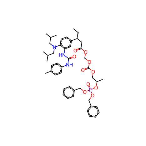 CC[C@@H](CC(=O)OCOC(=O)OCC(C)OP(=O)(OCc1ccccc1)OCc1ccccc1)c1ccc(N(CC(C)C)CC(C)C)c(NC(=O)Nc2ccc(C)cc2)c1